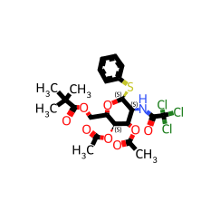 CC(=O)OC1[C@H](OC(C)=O)C(COC(=O)C(C)(C)C)O[C@@H](Sc2ccccc2)[C@H]1NC(=O)C(Cl)(Cl)Cl